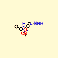 CC(C)(C)OC(=O)Nc1ccc(-c2ccccc2)cc1NC(=O)c1ccc2c(ccn2CCN2CCNCC2)c1